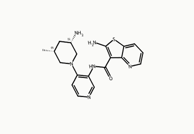 C[C@@H]1C[C@H](N)CN(c2ccncc2NC(=O)c2c(N)sc3cccnc23)C1